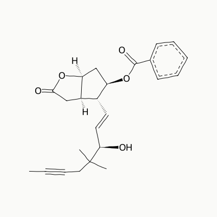 CC#CCC(C)(C)[C@H](O)C=C[C@@H]1[C@H]2CC(=O)O[C@H]2C[C@H]1OC(=O)c1ccccc1